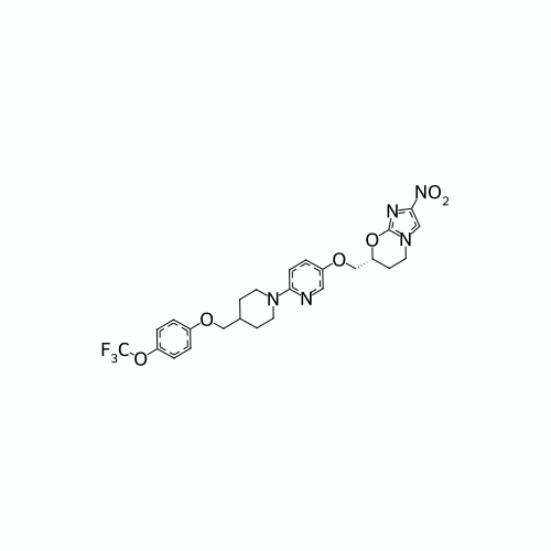 O=[N+]([O-])c1cn2c(n1)O[C@@H](COc1ccc(N3CCC(COc4ccc(OC(F)(F)F)cc4)CC3)nc1)CC2